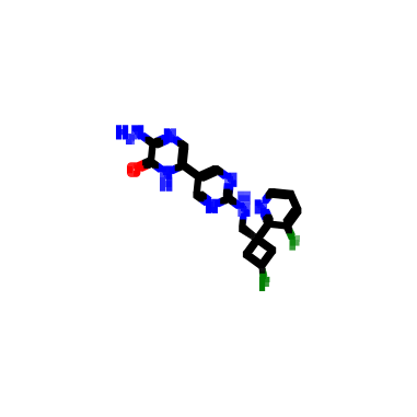 Nc1ncc(-c2cnc(NC[C@]3(c4ncccc4F)C[C@H](F)C3)nc2)[nH]c1=O